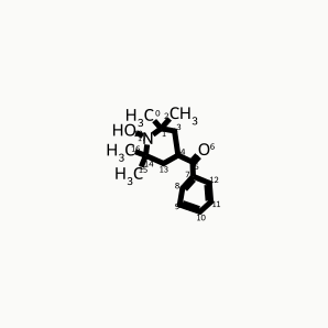 CC1(C)CC(C(=O)c2ccccc2)CC(C)(C)N1O